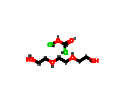 O=C(Cl)OCl.OCCOCCOCCO